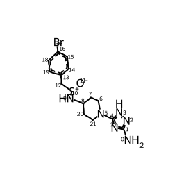 Nc1n[nH]c(N2CCC(N[S+]([O-])Cc3ccc(Br)cc3)CC2)n1